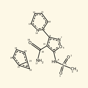 CS(=O)(=O)Nc1onc(-c2ccccn2)c1C(N)=O.c1cc2cc-2c1